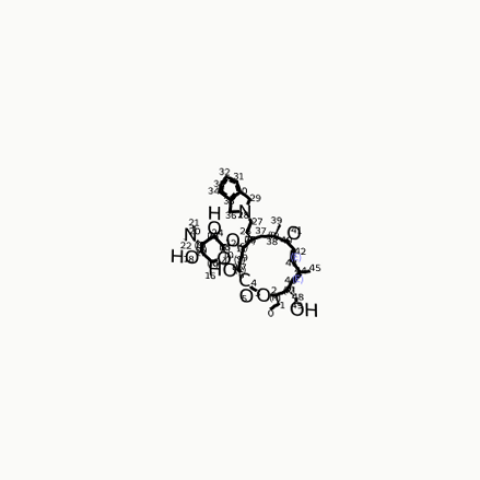 CC[C@H]1OC(=O)C[C@@H](O)[C@H](C)[C@@H](O[C@@H]2O[C@H](C)[C@@H](O)[C@H](N(C)C)[C@H]2O)[C@@H](CCN2Cc3ccccc3C2)C[C@@H](C)C(=O)/C=C/C(C)=C/[C@@H]1CO